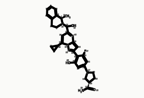 C[C@@H]1c2ccccc2CCN1C(O)c1cc(C2CC2)n2nc(-c3c(O)cc(N4CC[C@H](C(N)=O)C4)cc3F)cc2n1